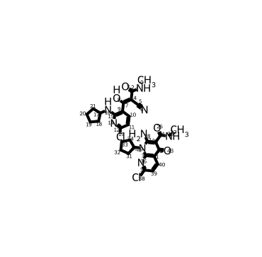 CNC(=O)/C(C#N)=C(\O)c1ccc(Cl)nc1NC1CCCC1.CNC(=O)c1c(N)n(C2CCCC2)c2nc(Cl)ccc2c1=O